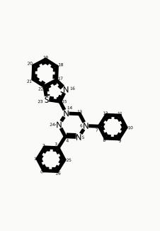 c1ccc(C2=NN(c3ccccc3)CN(c3nc4ccccc4s3)[N]2)cc1